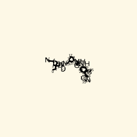 CCC(CC)(CCC#N)COC(=O)NCc1cccc(NC(=O)Nc2ccc(-c3cnco3)c(OC)c2)c1